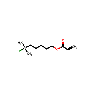 C=CC(=O)OCCCCC[Si](C)(C)Cl